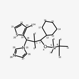 CC(C)(C(O[Si](C)(C)C(C)(C)C)C1CCCCC1)C(c1sccc1I)n1ccnc1